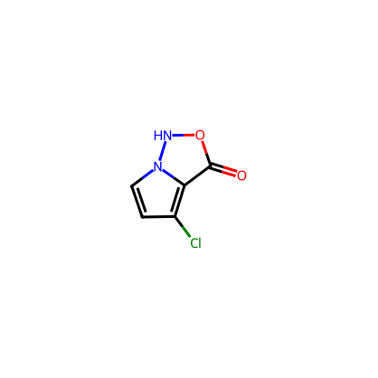 O=c1o[nH]n2ccc(Cl)c12